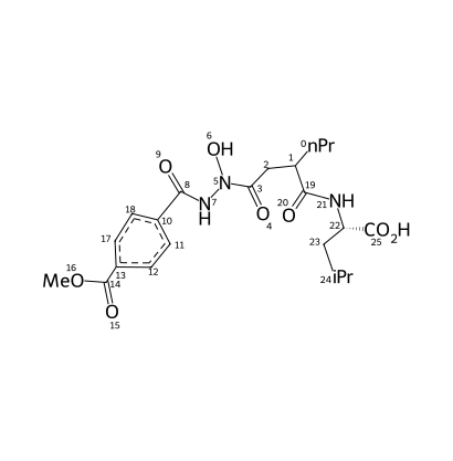 CCCC(CC(=O)N(O)NC(=O)c1ccc(C(=O)OC)cc1)C(=O)N[C@@H](CC(C)C)C(=O)O